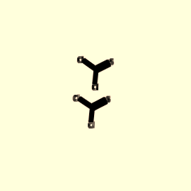 S=C(Cl)Cl.S=C(Cl)Cl